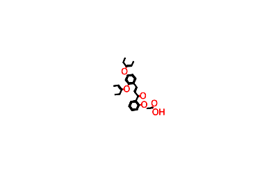 CC=C(CC)Oc1ccc(C=CC(=O)c2ccccc2OCC(=O)O)c(OC(=CC)CC)c1